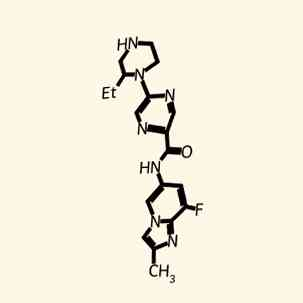 CCC1CNCCN1c1cnc(C(=O)Nc2cc(F)c3nc(C)cn3c2)cn1